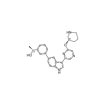 C[C@H](O)c1cccc(-c2ccc3[nH]cc(-c4cncc(O[C@@H]5CCCNC5)n4)c3c2)c1